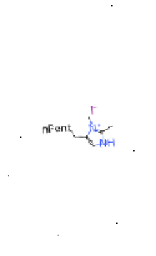 CCCCCCc1c[nH]c(C)[n+]1C.[I-]